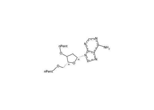 CCCCCOC[C@H]1O[C@@H](n2cnc3c(N)ncnc32)CC1OCCCCC